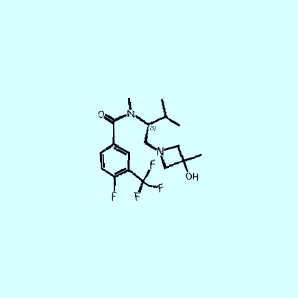 CC(C)[C@@H](CN1CC(C)(O)C1)N(C)C(=O)c1ccc(F)c(C(F)(F)F)c1